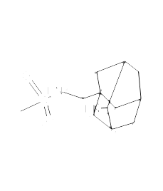 CS(=O)(=O)NCC12CC3CC(C1)C(N)C(C3)C2